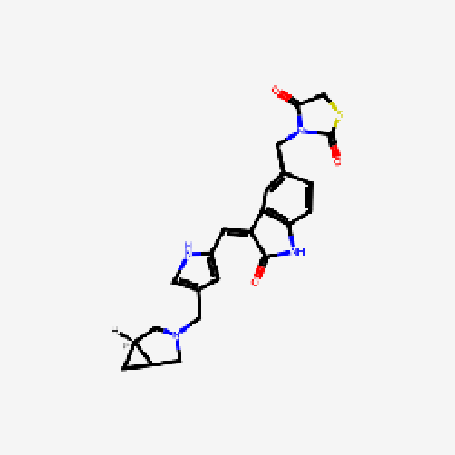 O=C1Nc2ccc(CN3C(=O)CSC3=O)cc2C1=Cc1cc(CN2CC3C[C@@H]3C2)c[nH]1